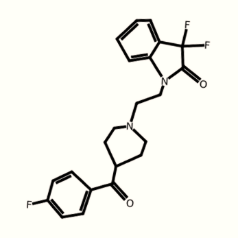 O=C(c1ccc(F)cc1)C1CCN(CCN2C(=O)C(F)(F)c3ccccc32)CC1